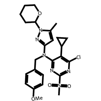 COc1ccc(CN(c2cc(C)n(C3CCCCO3)n2)c2nc(S(C)(=O)=O)nc(Cl)c2C2CC2)cc1